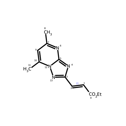 CCOC(=O)/C=C/c1nc2nc(C)cc(C)n2n1